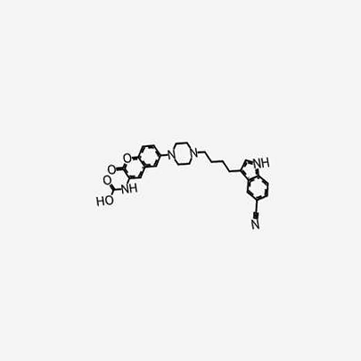 N#Cc1ccc2[nH]cc(CCCCN3CCN(c4ccc5oc(=O)c(NC(=O)O)cc5c4)CC3)c2c1